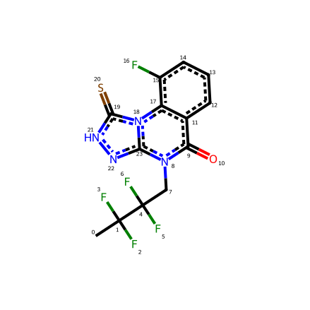 CC(F)(F)C(F)(F)Cn1c(=O)c2cccc(F)c2n2c(=S)[nH]nc12